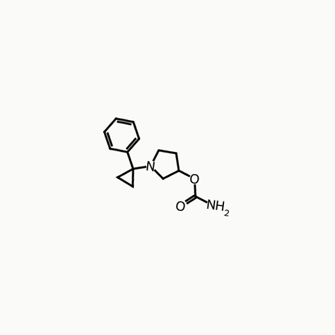 NC(=O)OC1CCN(C2(c3ccccc3)CC2)C1